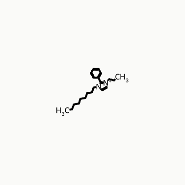 CCCCCCCCCn1cc[n+](CCC)c1-c1ccccc1